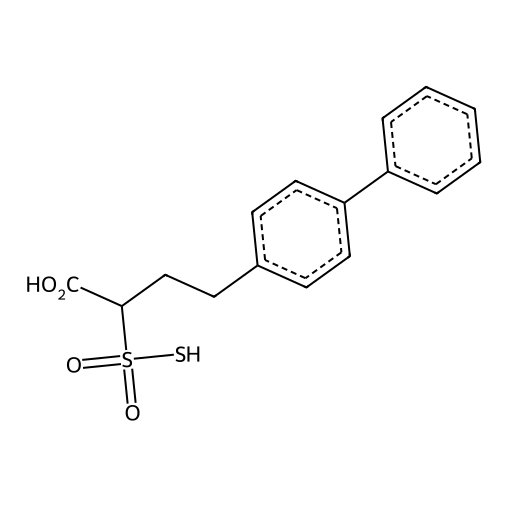 O=C(O)C(CCc1ccc(-c2ccccc2)cc1)S(=O)(=O)S